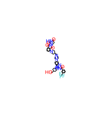 O=C1CCN(N2C(=O)c3cccc(N4CCC(CN5CCN(c6ccc7c(c6)nc(NC(=O)c6cccc(C(F)(F)F)c6)n7C6CCC(CO)CC6)CC5)CC4)c3C2=O)C(=O)N1